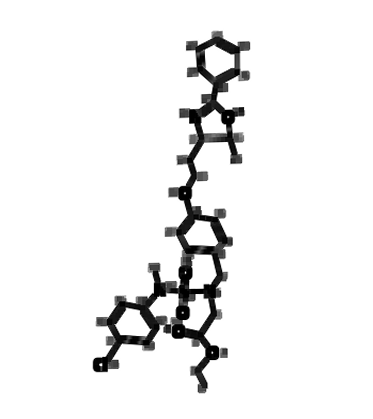 CCOC(=O)CN(Cc1ccc(OCCc2nc(-c3ccccc3)oc2C)cc1)S(=O)(=O)N(C)c1ccc(Cl)cc1